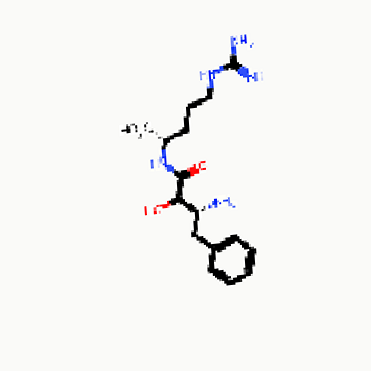 N=C(N)NCCC[C@H](NC(=O)C(O)[C@H](N)Cc1ccccc1)C(=O)O